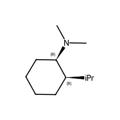 CC(C)[C@H]1CCCC[C@H]1N(C)C